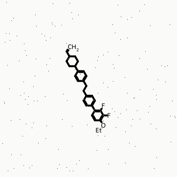 C=CC1CCC(c2ccc(CCc3ccc(-c4ccc(OCC)c(F)c4F)cc3)cc2)CC1